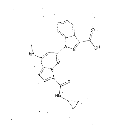 CNc1cc(-n2nc(C(=O)O)c3ccccc32)nn2c(C(=O)NC3CC3)cnc12